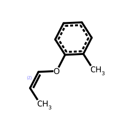 C/C=C\Oc1ccccc1C